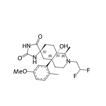 COc1ccc(C)c([C@]23CCN(CC(F)F)[C@H](C)[C@]2(O)CC[C@@]2(C3)NC(=O)NC2=O)c1